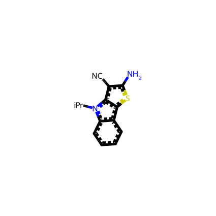 CC(C)n1c2ccccc2c2sc(N)c(C#N)c21